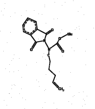 C=CCCCCN(C(=O)OC(C)(C)C)N1C(=O)c2ccccc2C1=O